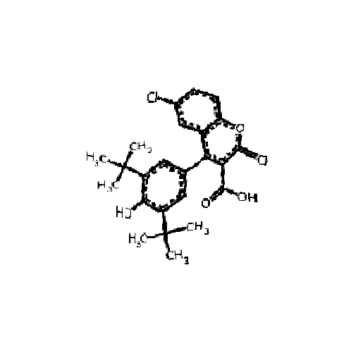 CC(C)(C)c1cc(-c2c(C(=O)O)c(=O)oc3ccc(Cl)cc23)cc(C(C)(C)C)c1O